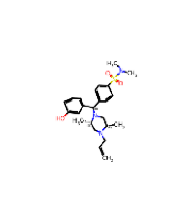 C=CCN1C[C@H](C)N([C@H](c2ccc(S(=O)(=O)N(C)C)cc2)c2cccc(O)c2)C[C@H]1C